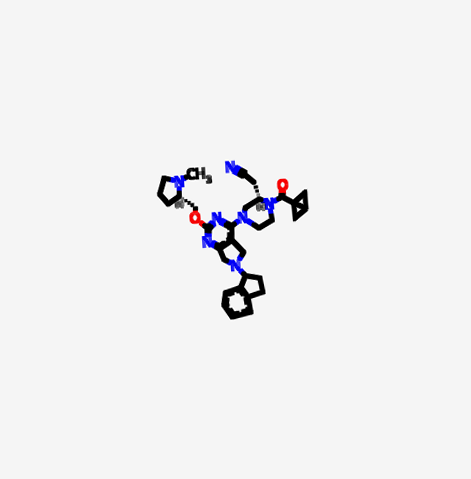 CN1CCC[C@H]1COc1nc2c(c(N3CCN(C(=O)C45CC4C5)[C@@H](CC#N)C3)n1)CN(C1CCc3ccccc31)C2